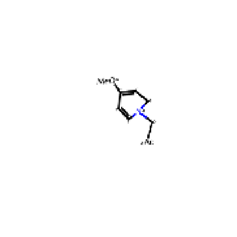 COC1=CCN(CC(C)=O)C=C1